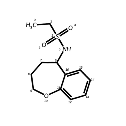 CCS(=O)(=O)NC1CCCOc2ccccc21